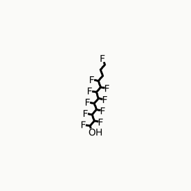 OC(F)C(F)C(F)C(F)C(F)C(F)C(F)C(F)C(F)CCCF